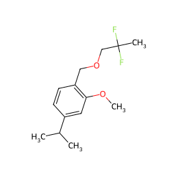 COc1cc(C(C)C)ccc1COCC(C)(F)F